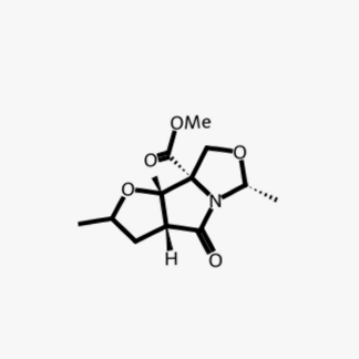 COC(=O)[C@]12CO[C@H](C)N1C(=O)[C@@H]1CC(C)O[C@@]12C